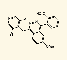 COc1ccc2c(Cc3c(Cl)cncc3Cl)nnc(-c3ccccc3C(=O)O)c2c1